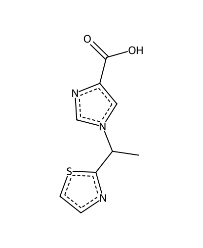 CC(c1nccs1)n1cnc(C(=O)O)c1